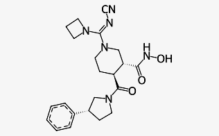 N#CN=C(N1CCC1)N1CC[C@H](C(=O)N2CC[C@H](c3ccccc3)C2)[C@@H](C(=O)NO)C1